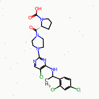 CC(Nc1nc(N2CCN(C(=O)[C@H]3CCCN3C(=O)O)CC2)ncc1Cl)c1ccc(Cl)cc1Cl